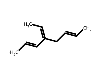 [CH2]C=CCC(C=C[CH2])=CC